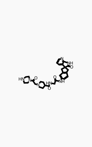 O=C(CNC(=O)C1CCN(CC(=O)N2CCNCC2)CC1)Nc1ccc2c(c1)CC1(C2)C(=O)Nc2ncccc21